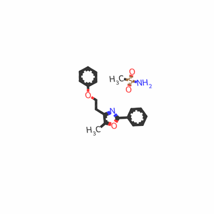 CS(N)(=O)=O.Cc1oc(-c2ccccc2)nc1CCOc1ccccc1